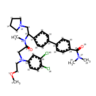 COCCN(CC(=O)N(C)C(CN1CCCC1)c1ccc(-c2ccc(C(=O)N(C)C)cc2)cc1)c1ccc(Cl)c(Cl)c1